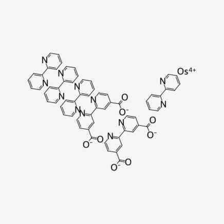 O=C([O-])c1ccnc(-c2cc(C(=O)[O-])ccn2)c1.O=C([O-])c1ccnc(-c2cc(C(=O)[O-])ccn2)c1.[Os+4].c1ccc(-c2ccccn2)nc1.c1ccc(-c2ccccn2)nc1.c1ccc(-c2ccccn2)nc1.c1ccc(-c2ccccn2)nc1